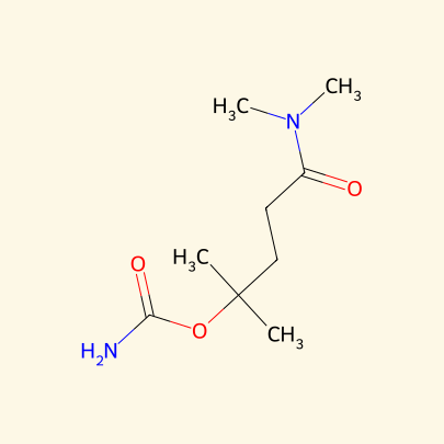 CN(C)C(=O)CCC(C)(C)OC(N)=O